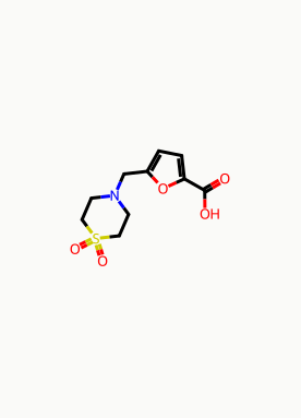 O=C(O)c1ccc(CN2CCS(=O)(=O)CC2)o1